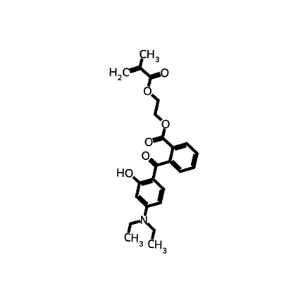 C=C(C)C(=O)OCCOC(=O)c1ccccc1C(=O)c1ccc(N(CC)CC)cc1O